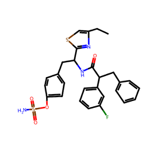 CCc1csc(C(Cc2ccc(OS(N)(=O)=O)cc2)NC(=O)C(Cc2ccccc2)c2cccc(F)c2)n1